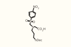 CCCCCCCCCCCCCN(CC(=O)O)CS(=O)(=O)c1ccc([N+](=O)[O-])cc1